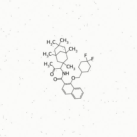 CC(=O)C(NC(=O)c1ccc2ccccc2c1OCC1CCC(F)(F)CC1)C1(C)CC2(C)CC(C)(C)CC(C)(C2)C1